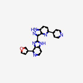 c1cc(-c2ccc3[nH]nc(-c4nc5c(-c6ccoc6)nccc5[nH]4)c3n2)ccn1